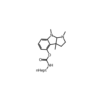 CCCCCCCNC(=O)Oc1cccc2c1C1(C)CCN(C)C1N2C